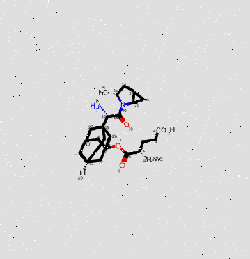 CN[C@@H](CCC(=O)O)C(=O)OC12CC3C[C@H](C1)CC([C@H](N)C(=O)N1C4CC4C[C@H]1C#N)(C3)C2